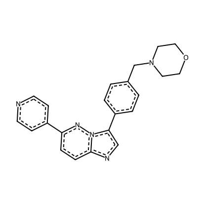 c1cc(-c2ccc3ncc(-c4ccc(CN5CCOCC5)cc4)n3n2)ccn1